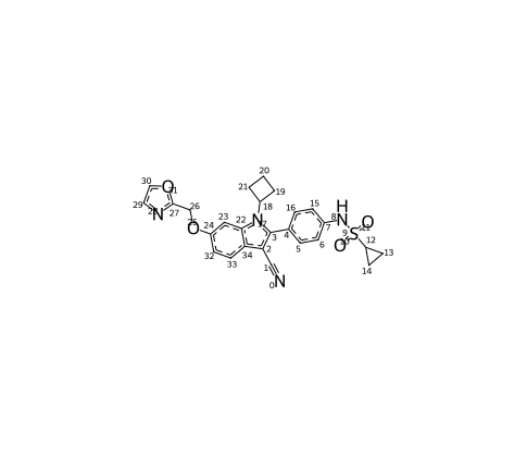 N#Cc1c(-c2ccc(NS(=O)(=O)C3CC3)cc2)n(C2CCC2)c2cc(OCc3ncco3)ccc12